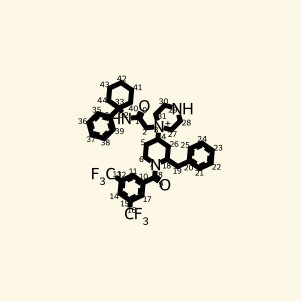 O=C(C[N+]1(C2CCN(C(=O)c3cc(C(F)(F)F)cc(C(F)(F)F)c3)C(Cc3ccccc3)C2)CCNCC1)NC1(c2ccccc2)CCCCC1